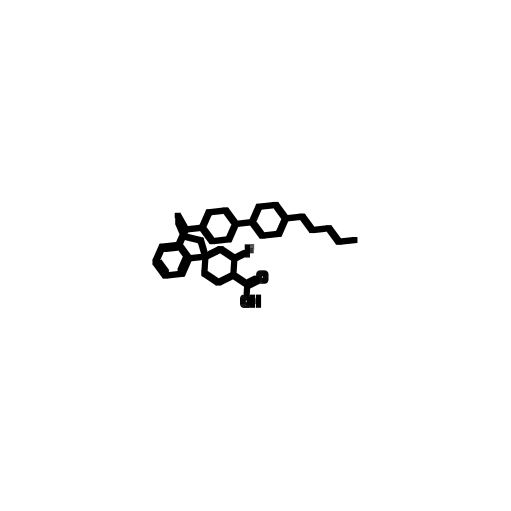 CCCCCC1CCC(C2CCC(C(C)c3ccccc3C3(CCC)CCC(C(=O)O)C(F)C3)CC2)CC1